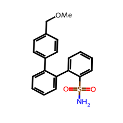 COCc1ccc(-c2ccccc2-c2ccccc2S(N)(=O)=O)cc1